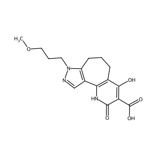 COCCCn1ncc2c1CCCc1c-2[nH]c(=O)c(C(=O)O)c1O